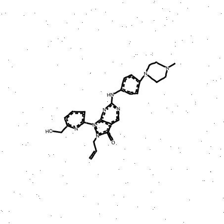 C=CCn1c(=O)c2cnc(Nc3ccc(N4CCN(C)CC4)cc3)nc2n1-c1cccc(CO)n1